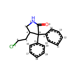 O=C1NCC(CCCl)C1(c1ccccc1)c1ccccc1